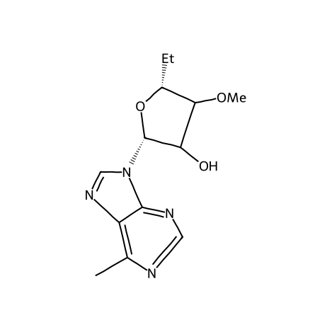 CC[C@H]1O[C@@H](n2cnc3c(C)ncnc32)C(O)C1OC